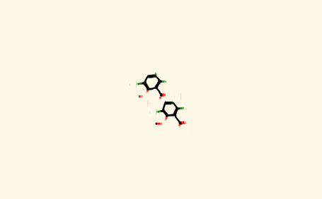 COc1c(Cl)cc(Cl)c(Cl)c1C(=O)O.COc1c(Cl)cc(Cl)c(Cl)c1C(=O)O